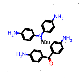 CCCCN(c1ccc(N)cc1)c1ccc(N)cc1.Nc1ccc(C(=O)c2ccc(N)cc2)cc1